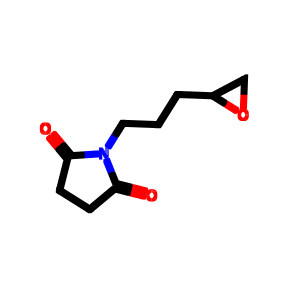 O=C1CCC(=O)N1CCCC1CO1